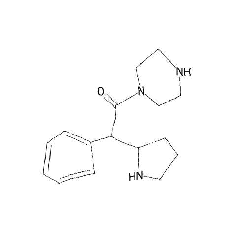 O=C(C(c1ccccc1)C1CCCN1)N1CCNCC1